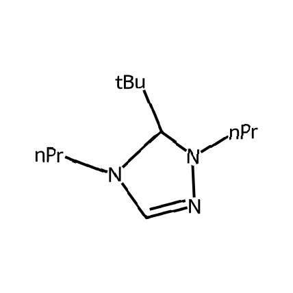 CCCN1C=NN(CCC)C1C(C)(C)C